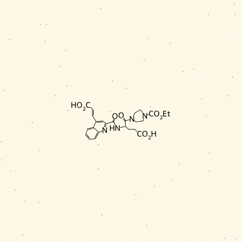 CCOC(=O)N1CCN(C(=O)C(CCC(=O)O)NC(=O)c2cc(/C=C/C(=O)O)c3ccccc3n2)CC1